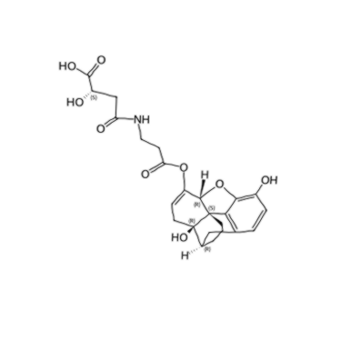 O=C(C[C@H](O)C(=O)O)NCCC(=O)OC1=CC[C@@]2(O)[C@@H]3CCC[C@@]24c2c(ccc(O)c2O[C@@H]14)C3